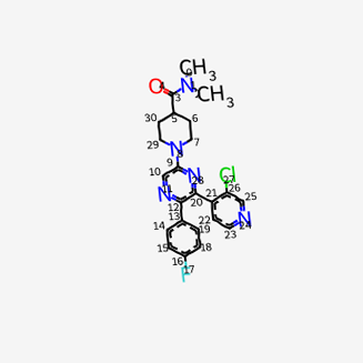 CN(C)C(=O)C1CCN(c2cnc(-c3ccc(F)cc3)c(-c3ccncc3Cl)n2)CC1